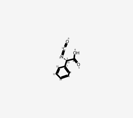 O=C=N[C@H](C(=O)O)c1ccccc1